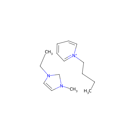 CCCC[n+]1ccccc1.CCN1C=CN(C)C1